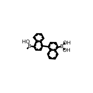 CB(O)c1ccc(-c2ccc(B(O)O)c3ccccc23)c2ccccc12